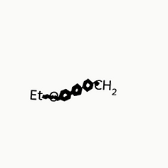 C=C[C@H]1CC[C@H](c2ccc(-c3ccc(COC/C=C/CC)cc3)cc2)CC1